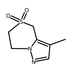 Cc1cnn2c1CS(=O)(=O)CC2